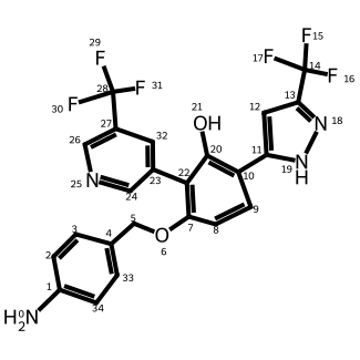 Nc1ccc(COc2ccc(-c3cc(C(F)(F)F)n[nH]3)c(O)c2-c2cncc(C(F)(F)F)c2)cc1